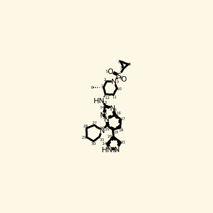 C[C@@H]1CN(S(=O)(=O)C2CC2)CC[C@@H]1Nc1nc2ccc(-c3cn[nH]c3)c(N3CCCCC3)n2n1